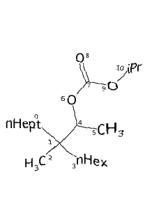 CCCCCCCC(C)(CCCCCC)C(C)OC(=O)OC(C)C